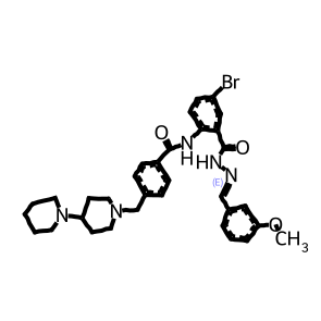 COc1cccc(/C=N/NC(=O)c2cc(Br)ccc2NC(=O)c2ccc(CN3CCC(N4CCCCC4)CC3)cc2)c1